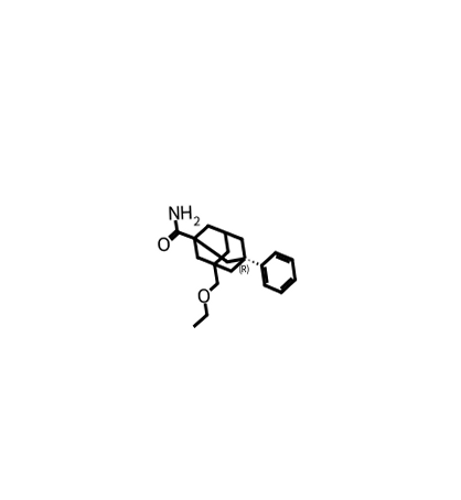 CCOCC12CC3CC(C(N)=O)(C1)C[C@@](c1ccccc1)(C3)C2